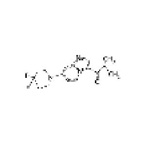 CC(C)C(=O)c1cnc2cc(N3CCC(F)(F)CC3)ccn12